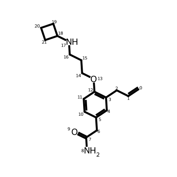 C=CCc1cc(CC(N)=O)ccc1OCCCNC1CCC1